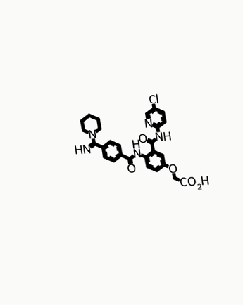 N=C(c1ccc(C(=O)Nc2ccc(OCC(=O)O)cc2C(=O)Nc2ccc(Cl)cn2)cc1)N1CCCCC1